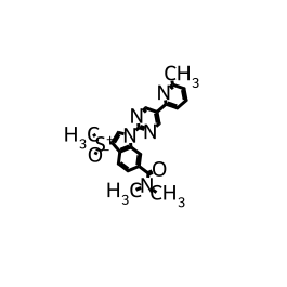 Cc1cccc(-c2cnc(-n3cc([S+](C)[O-])c4ccc(C(=O)N(C)C)cc43)nc2)n1